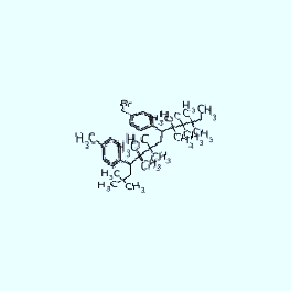 CCC(C)(C)C(C)(C)C(C)(C)C(CC(C)(C)C(C)(C)C(CC(C)(C)C)c1ccc(C)cc1)c1ccc(CBr)cc1